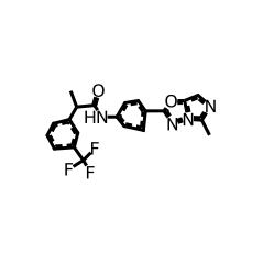 Cc1ncc2oc(-c3ccc(NC(=O)C(C)c4cccc(C(F)(F)F)c4)cc3)nn12